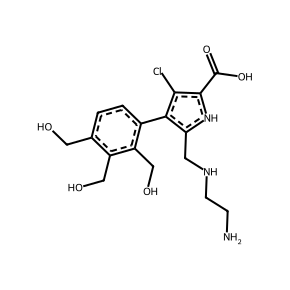 NCCNCc1[nH]c(C(=O)O)c(Cl)c1-c1ccc(CO)c(CO)c1CO